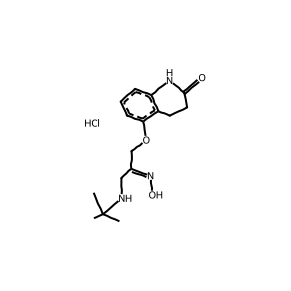 CC(C)(C)NCC(COc1cccc2c1CCC(=O)N2)=NO.Cl